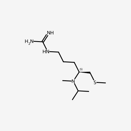 CSC[C@H](CCCNC(=N)N)N(C)C(C)C